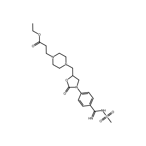 CCOC(=O)CCN1CCN(CC2CN(c3ccc(C(=N)NS(C)(=O)=O)cc3)C(=O)O2)CC1